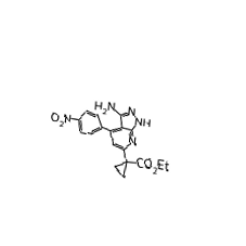 CCOC(=O)C1(c2cc(-c3ccc([N+](=O)[O-])cc3)c3c(N)n[nH]c3n2)CC1